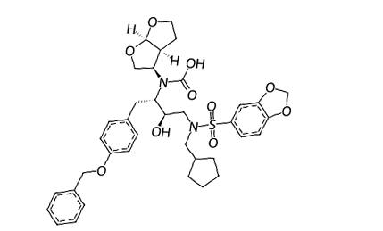 O=C(O)N([C@H]1CO[C@H]2OCC[C@H]21)[C@@H](Cc1ccc(OCc2ccccc2)cc1)[C@H](O)CN(CC1CCCC1)S(=O)(=O)c1ccc2c(c1)OCO2